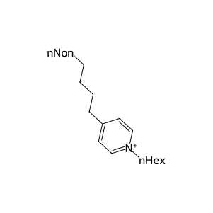 CCCCCCCCCCCCCc1cc[n+](CCCCCC)cc1